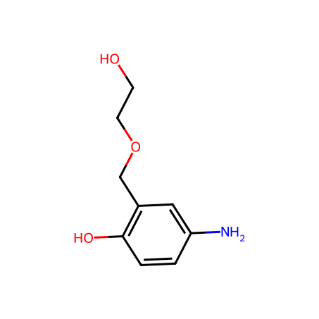 Nc1ccc(O)c(COCCO)c1